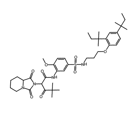 CCC(C)(C)c1ccc(OCCCNS(=O)(=O)c2ccc(OC)c(NC(=O)C(C(=O)C(C)(C)C)N3C(=O)C4CCCCN4C3=O)c2)c(C(C)(C)CC)c1